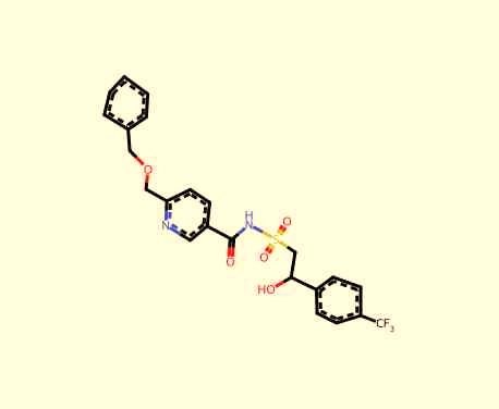 O=C(NS(=O)(=O)CC(O)c1ccc(C(F)(F)F)cc1)c1ccc(COCc2ccccc2)nc1